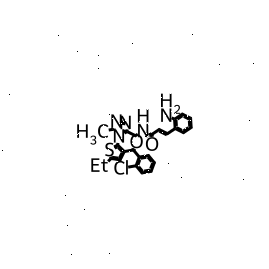 CCc1cc(C(=O)c2ccccc2Cl)c(-n2c(C)nnc2CNC(=O)C=Cc2ccccc2N)s1